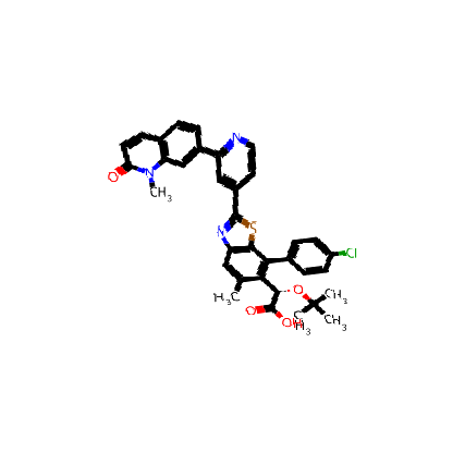 Cc1cc2nc(-c3ccnc(-c4ccc5ccc(=O)n(C)c5c4)c3)sc2c(-c2ccc(Cl)cc2)c1[C@H](OC(C)(C)C)C(=O)O